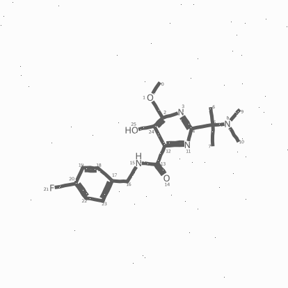 COc1nc(C(C)(C)N(C)C)nc(C(=O)NCc2ccc(F)cc2)c1O